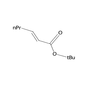 CCC/C=C/C(=O)OC(C)(C)C